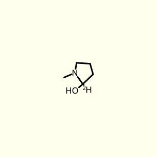 [2H]C1(O)CCCN1C